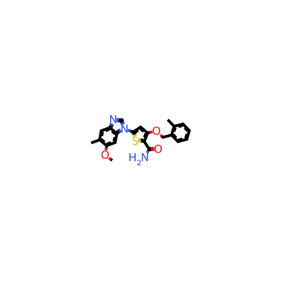 COc1cc2c(cc1C)ncn2-c1cc(OCc2ccccc2C)c(C(N)=O)s1